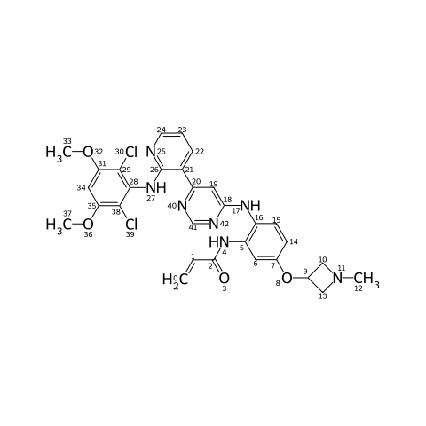 C=CC(=O)Nc1cc(OC2CN(C)C2)ccc1Nc1cc(-c2cccnc2Nc2c(Cl)c(OC)cc(OC)c2Cl)ncn1